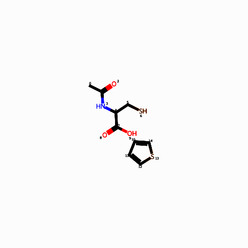 CC(=O)NC(CS)C(=O)O.c1ccsc1